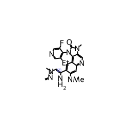 C=NN(C)/C=C(\N)c1cc2c(cc1NC)ncc1c2n(-c2c(F)cncc2CC)c(=O)n1C